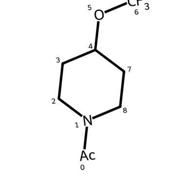 CC(=O)N1CCC(OC(F)(F)F)CC1